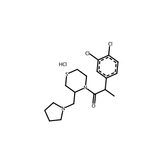 CC(C(=O)N1CCSCC1CN1CCCC1)c1ccc(Cl)c(Cl)c1.Cl